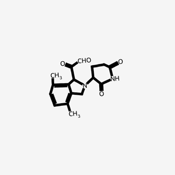 Cc1ccc(C)c2c1CN(C1CCC(=O)NC1=O)C2C(=O)C=O